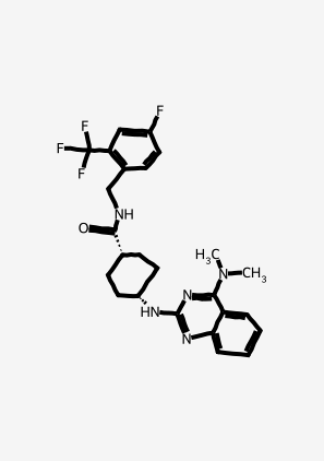 CN(C)c1nc(N[C@H]2CC[C@@H](C(=O)NCc3ccc(F)cc3C(F)(F)F)CC2)nc2ccccc12